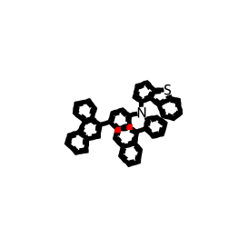 c1ccc(N(c2ccc(-c3cc4ccccc4c4ccccc34)cc2)c2cccc3sc4ccccc4c23)c(-c2cccc3ccccc23)c1